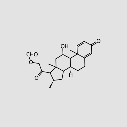 C[C@@H]1CC2[C@@H]3CCC4=CC(=O)C=CC4(C)C3C(O)CC2(C)C1C(=O)COC=O